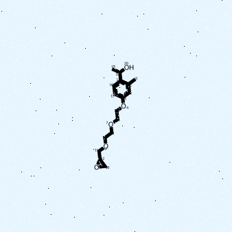 Cc1cc(OCCOCCOCC2CO2)ccc1C(C)O